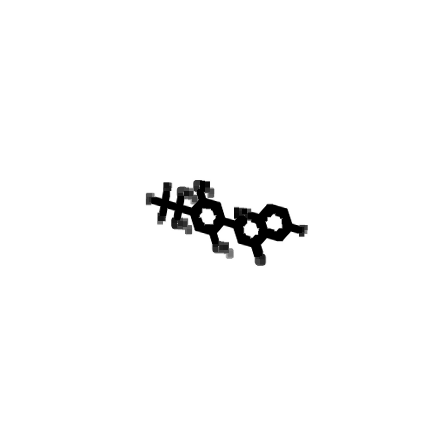 Cc1cc(C(C)(C)C(F)(F)F)c(C)cc1-c1cc(=O)c2cc(F)ccc2[nH]1